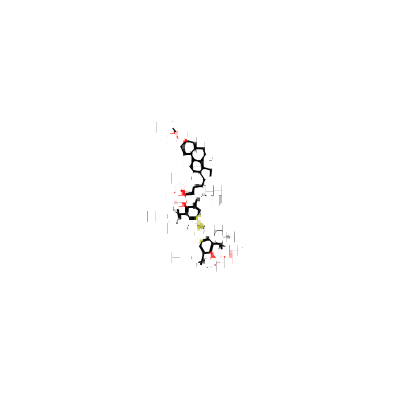 CC(=O)O[C@@H]1CC[C@@]2(C)[C@H](CC[C@@H]3[C@@H]2CC[C@]2(C)[C@@H]([C@H](C)CCC(=O)Oc4c(C(C)(C)C)cc(SC(C)(C)Sc5cc(C(C)(C)C)c(O)c(C(C)(C)C)c5)cc4C(C)(C)C)CC[C@@H]32)C1